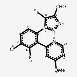 COc1cc(-c2c(-n3nnc(C=O)c3I)ccc(Cl)c2F)ncn1